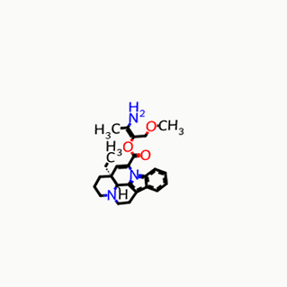 CC[C@@]12C=C(C(=O)O/C(COC)=C(\C)N)n3c4c(c5ccccc53)CCN(CCC1)[C@H]42